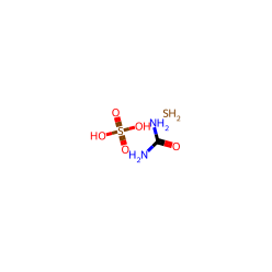 NC(N)=O.O=S(=O)(O)O.S